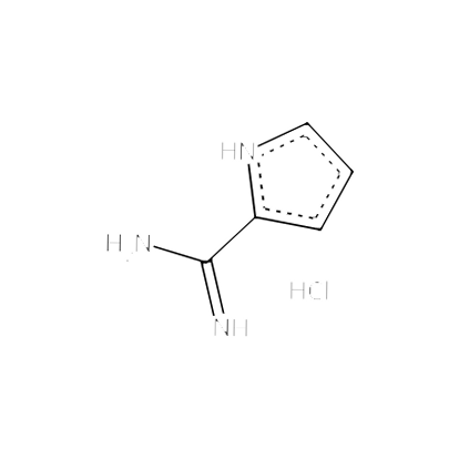 Cl.N=C(N)c1ccc[nH]1